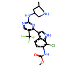 COC(=O)Nc1ccc2c(-c3nc(NC4CNCC(C)C4)ncc3C(F)(F)F)c[nH]c2c1Cl